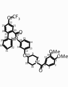 COc1ccc(C(=O)N2CCC(Oc3cccc(NC(=O)c4cc(OC(F)(F)F)ccc4-c4ccccc4)c3)CC2)cc1OC